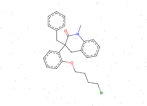 CN1C(=O)C(Cc2ccccc2)(c2ccccc2OCCCCBr)Cc2ccccc21